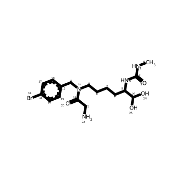 CNC(=O)NC(CCCCN(Cc1ccc(Br)cc1)C(=O)CN)C(O)O